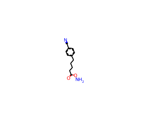 N#Cc1ccc(CCCCC(=O)ON)cc1